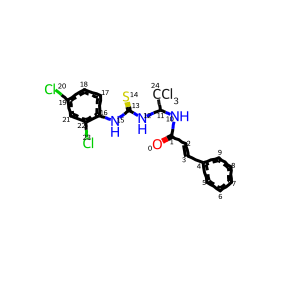 O=C(/C=C/c1ccccc1)NC(NC(=S)Nc1ccc(Cl)cc1Cl)C(Cl)(Cl)Cl